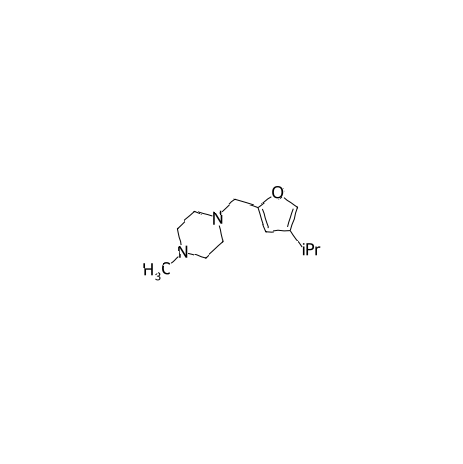 CC(C)c1coc(CN2CCN(C)CC2)c1